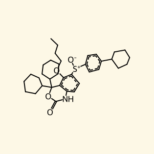 CCCCOc1c([S+]([O-])c2ccc(C3CCCCC3)cc2)ccc2c1C(C1CCCCC1)(C1CCCCC1)OC(=O)N2